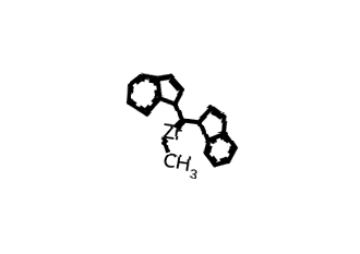 C[CH]=[Zr]=[C](C1C=Cc2ccccc21)C1C=Cc2ccccc21